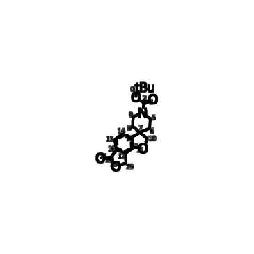 CC(C)(C)OC(=O)N1CCC2(CC1)COc1c2ccc2c1COC2=O